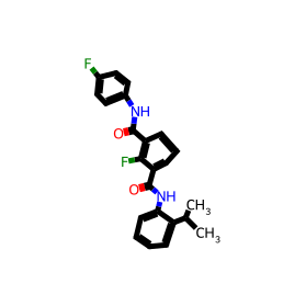 CC(C)c1ccccc1NC(=O)c1cccc(C(=O)Nc2ccc(F)cc2)c1F